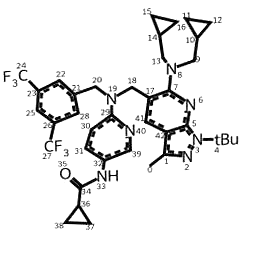 Cc1nn(C(C)(C)C)c2nc(N(CC3CC3)CC3CC3)c(CN(Cc3cc(C(F)(F)F)cc(C(F)(F)F)c3)c3ccc(NC(=O)C4CC4)cn3)cc12